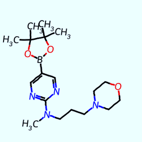 CN(CCCN1CCOCC1)c1ncc(B2OC(C)(C)C(C)(C)O2)cn1